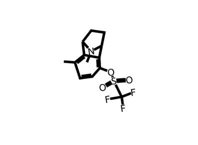 Cc1ccc(OS(=O)(=O)C(F)(F)F)c2c1C1CCC2N1C